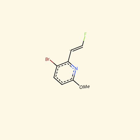 COc1ccc(Br)c(/[C]=C/F)n1